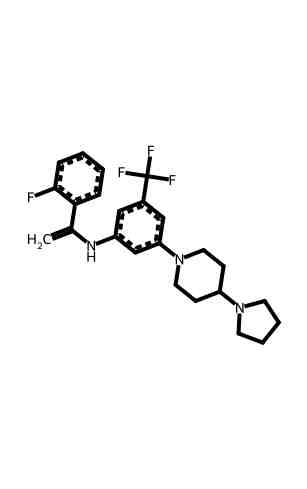 C=C(Nc1cc(N2CCC(N3CCCC3)CC2)cc(C(F)(F)F)c1)c1ccccc1F